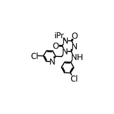 CC(C)n1c(=O)nc(Nc2cccc(Cl)c2)n(Cc2ccc(Cl)cn2)c1=O